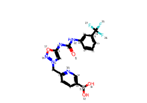 O=C([N-]c1c[n+](Cc2ccc(B(O)O)cn2)no1)Nc1cccc(C(F)(F)F)c1